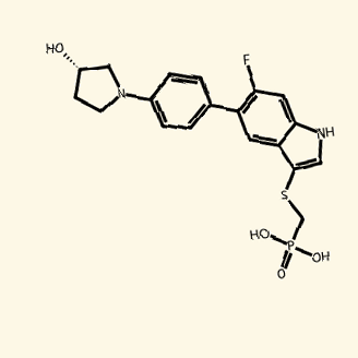 O=P(O)(O)CSc1c[nH]c2cc(F)c(-c3ccc(N4CC[C@H](O)C4)cc3)cc12